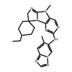 CCC1CCC2(CC1)CN=C1N(C)c3cnc(Nc4cn5ncnc5cc4C)nc3N12